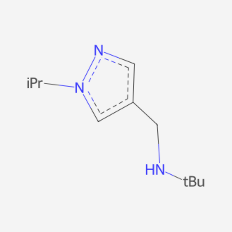 CC(C)n1cc(CNC(C)(C)C)cn1